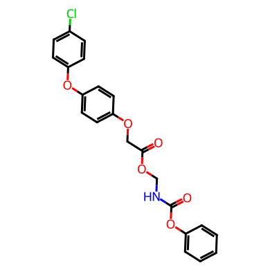 O=C(COc1ccc(Oc2ccc(Cl)cc2)cc1)OCNC(=O)Oc1ccccc1